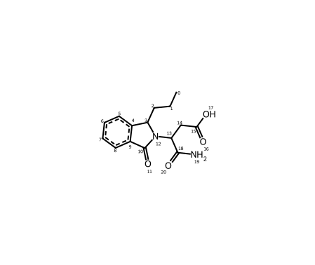 CCCC1c2ccccc2C(=O)N1C(CC(=O)O)C(N)=O